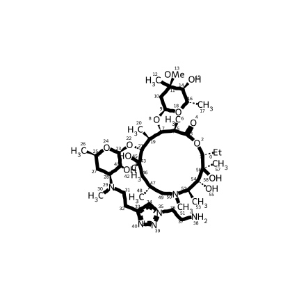 CC[C@H]1OC(=O)[C@H](C)[C@@H](O[C@H]2C[C@@](C)(OC)[C@@H](O)[C@H](C)O2)[C@H](C)[C@@H](O[C@@H]2O[C@H](C)C[C@H](N(C)CCc3cn(CCN)nn3)[C@H]2O)[C@](C)(O)C[C@@H](C)CN(C)[C@H](C)[C@@H](O)[C@]1(C)O